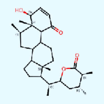 C[C@H](C1C[C@@H](C)[C@H](C)C(=O)O1)C1CCC2C3C[C@@H](C)[C@@]4(C)C(C(=O)C=C[C@@H]4O)C3CC[C@@]21C